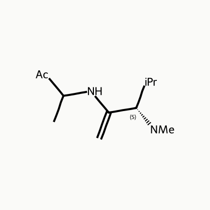 C=C(NC(C)C(C)=O)[C@@H](NC)C(C)C